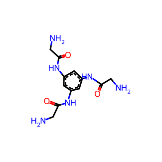 NCC(=O)Nc1cc(NC(=O)CN)cc(NC(=O)CN)c1